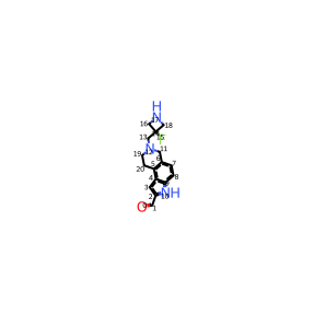 O=Cc1cc2c3c(ccc2[nH]1)CN(CC1(F)CNC1)CC3